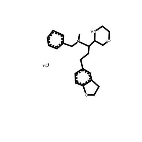 CN(Cc1ccccc1)C(CCc1ccc2c(c1)CCO2)C1COCCN1.Cl